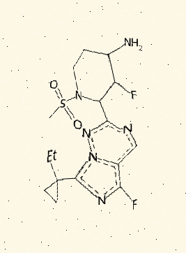 CCC1(c2nc(F)c3cnc(C4C(F)C(N)CCN4S(C)(=O)=O)nn23)CC1